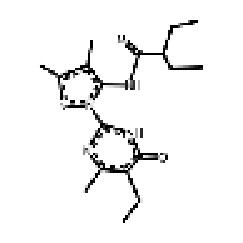 CCc1c(C)nc(-n2nc(C)c(C)c2NC(=O)C(CC)CC)[nH]c1=O